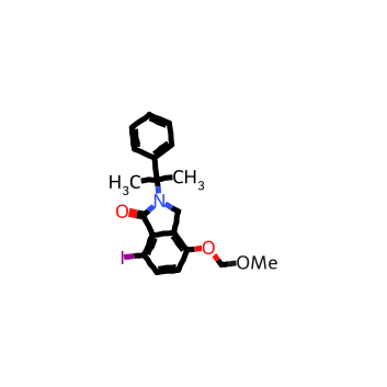 COCOc1ccc(I)c2c1CN(C(C)(C)c1ccccc1)C2=O